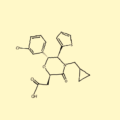 O=C(O)C[C@H]1O[C@H](c2cccc(Cl)c2)[C@@H](c2cccs2)N(CC2CC2)C1=O